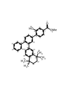 COC(=O)c1ccc(-c2ccc(-c3ccccc3)c(-c3ccc4c(c3)C(C)(C)CCC4(C)C)c2)c(O)c1